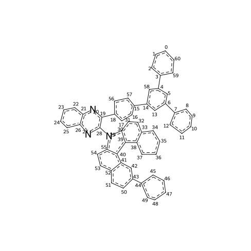 c1ccc(-c2cc(-c3ccccc3)cc(-c3ccc(-c4nc5ccccc5nc4-n4c5ccc6ccccc6c5c5c6cc(-c7ccccc7)ccc6ccc54)cc3)c2)cc1